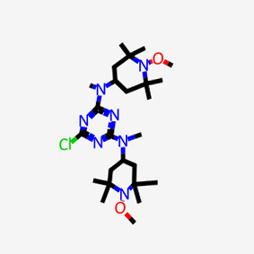 CON1C(C)(C)CC(N(C)c2nc(Cl)nc(N(C)C3CC(C)(C)N(OC)C(C)(C)C3)n2)CC1(C)C